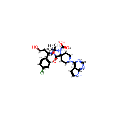 CC(C)(C)N(C(=O)O)C1(C(=O)NC(CCO)c2ccc(Cl)cc2)CCN(c2ncnc3[nH]ccc23)CC1